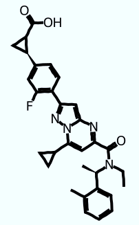 CCN(C(=O)c1cc(C2CC2)n2nc(-c3ccc([C@H]4CC4C(=O)O)cc3F)cc2n1)[C@H](C)c1ccccc1C